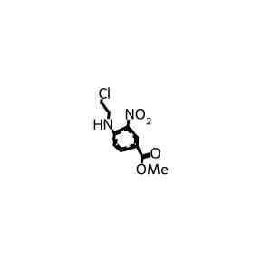 COC(=O)c1ccc(NCCCl)c([N+](=O)[O-])c1